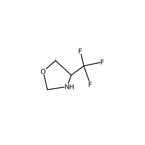 FC(F)(F)C1[CH]OCN1